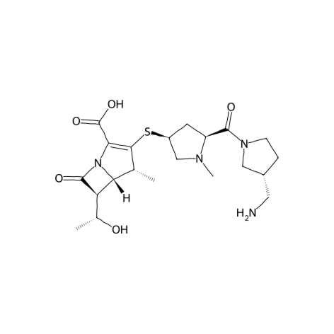 C[C@@H](O)[C@H]1C(=O)N2C(C(=O)O)=C(S[C@H]3C[C@@H](C(=O)N4CC[C@H](CN)C4)N(C)C3)[C@H](C)[C@H]12